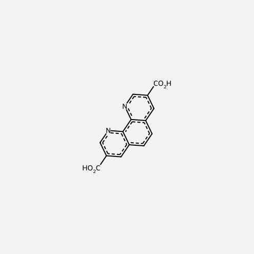 O=C(O)c1cnc2c(ccc3cc(C(=O)O)cnc32)c1